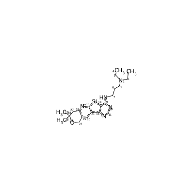 CCN(CC)CCCNc1ncnc2c1sc1nc3c(cc12)COC(C)(C)C3